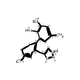 Cc1cc(-c2ccc(Cl)cc2-c2c[nH]nn2)c(O)c(C(C)(C)C)c1